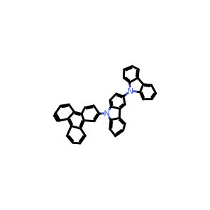 c1ccc2c(c#1)c1ccccc1c1cc(-n3c4ccccc4c4cc(-n5c6ccccc6c6ccccc65)ccc43)ccc21